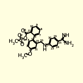 COc1ccc(-c2ccccc2C(=O)OS(C)(=O)=O)c(CNc2ccc(C(=N)N)cc2)c1